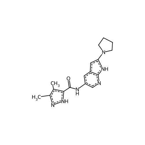 Cc1n[nH]c(C(=O)Nc2cnc3[nH]c(N4CCCC4)cc3c2)c1C